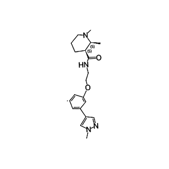 C[C@H]1[C@@H](C(=O)NCCOc2c[c]cc(-c3cnn(C)c3)c2)CCCN1C